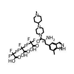 Cc1cc(C[C@@H](N)C(=O)N2CCN(C3CCN(C)CC3)CC2)cc2cn[nH]c12.O=C(O)C(F)(F)F.O=C(O)C(F)(F)F.O=C(O)C(F)(F)F